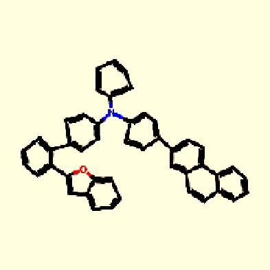 c1ccc(N(c2ccc(-c3ccc4c(ccc5ccccc54)c3)cc2)c2ccc(-c3ccccc3-c3cc4ccccc4o3)cc2)cc1